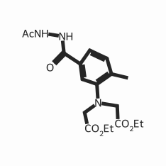 CCOC(=O)CN(CC(=O)OCC)c1cc(C(=O)NNC(C)=O)ccc1C